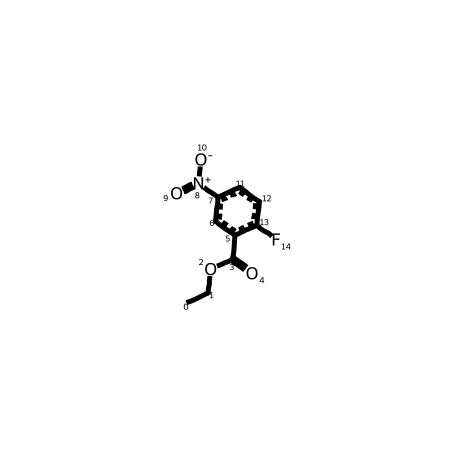 CCOC(=O)c1cc([N+](=O)[O-])ccc1F